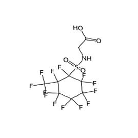 O=C(O)CNS(=O)(=O)C1(F)C(F)(F)C(F)(F)C(F)(F)C(F)(F)C1(F)C(F)(F)F